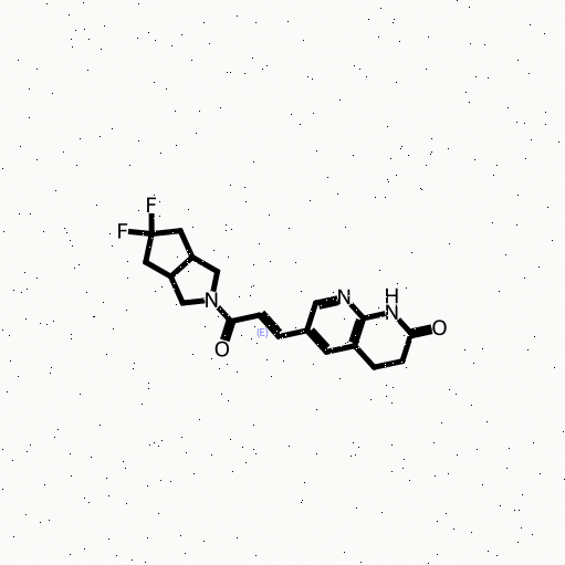 O=C1CCc2cc(/C=C/C(=O)N3CC4CC(F)(F)CC4C3)cnc2N1